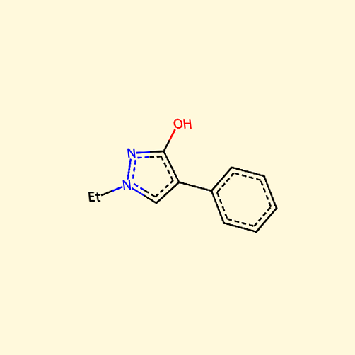 CCn1cc(-c2ccccc2)c(O)n1